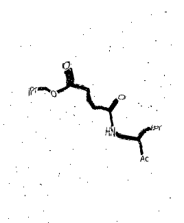 CC(=O)C(NC(=O)CCC(=O)OC(C)C)C(C)C